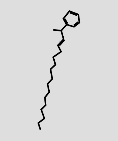 CCCCCCCCCCCCC/C=C/C(C)c1ccccc1